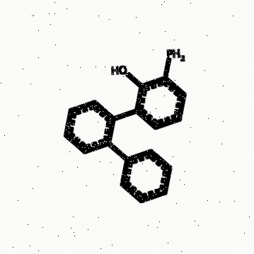 Oc1c(P)cccc1-c1ccccc1-c1ccccc1